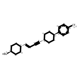 CCCC[C@H]1CC[C@H](/C=C/C#C[C@H]2CC[C@H](c3ccc(C(F)(F)F)cc3)CC2)CC1